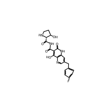 O=C(NC(=O)[C@H]1NCCC1O)c1c(O)c2ncc(Cc3ccc(F)cc3)cc2[nH]c1=O